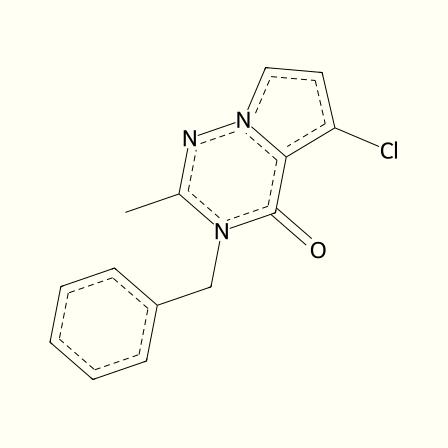 Cc1nn2ccc(Cl)c2c(=O)n1Cc1ccccc1